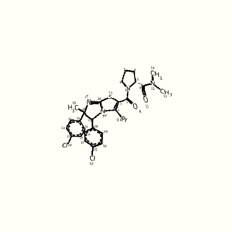 CC(C)C1=C(C(=O)N2CCC[C@@H]2C(=O)N(C)C)SC2=NC(C)(c3ccc(Cl)cc3)C(c3ccc(Cl)cc3)N21